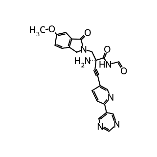 COc1ccc2c(c1)C(=O)N(C[C@](N)(C#Cc1ccc(-c3cncnc3)nc1)C(=O)NC=O)C2